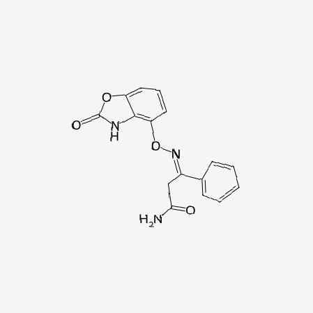 NC(=O)C/C(=N\Oc1cccc2oc(=O)[nH]c12)c1ccccc1